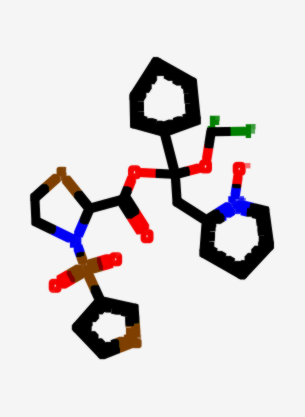 O=C(OC(Cc1cccc[n+]1[O-])(OC(F)F)c1ccccc1)C1SCCN1S(=O)(=O)c1ccsc1